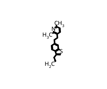 C=CCc1csc2cc(CCc3ccc(C)nc3C)ccc12